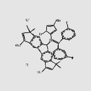 CCC1C=C(C(C)(C)C)C=[C]1[Zr+2](=[C](c1cccc(F)c1)c1cccc(F)c1)[CH]1c2cc3c(cc2-c2cc4c(cc21)C(C)(C)C=C4C(C)(C)C)C(C(C)(C)C)=CC3(C)C.[Cl-].[Cl-]